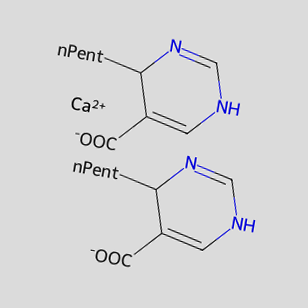 CCCCCC1N=CNC=C1C(=O)[O-].CCCCCC1N=CNC=C1C(=O)[O-].[Ca+2]